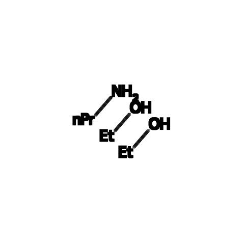 CCCN.CCO.CCO